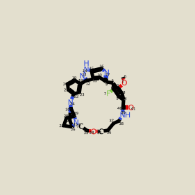 COc1cc2cc(F)c1-c1cc3c(n[nH]c3cn1)-c1cccc(c1)N1CC3CCC(C1)N3CCOCCCCNC2=O